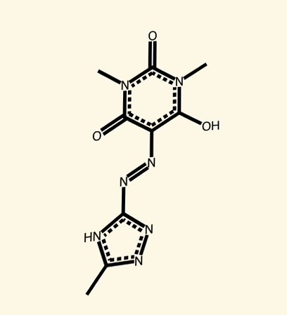 Cc1nnc(N=Nc2c(O)n(C)c(=O)n(C)c2=O)[nH]1